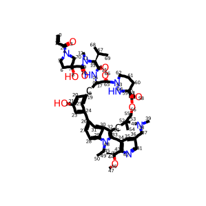 C=CC(=O)N1CCC(O)(C(=O)N(C)[C@H](C(=O)N[C@H]2Cc3cc(O)cc(c3)-c3ccc4c(c3)c(c(-c3cc(CN(C)C)cnc3[C@H](C)OC)n4CC)CC(C)(C)COC(=O)[C@@H]3CCCN(N3)C2=O)C(C)C)C1